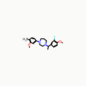 Bc1ccc(N2CCCN(C(C)c3ccc(OC)c(F)c3)CC2)cc1OC